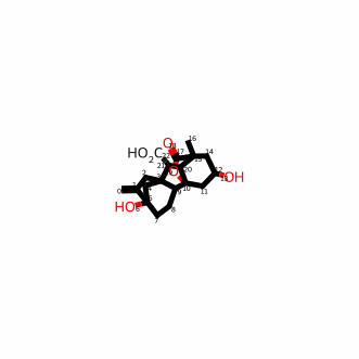 C=C1CC23CC1(O)CCC2C12CC(O)CC(C)(C(=O)O1)C2C3C(=O)O